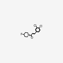 O=C(/C=C/c1ccc(Cl)c(Cl)c1)N1CCC(F)CC1